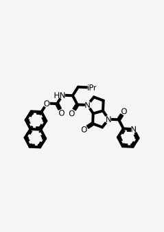 CC(C)CC(NC(=O)Oc1ccc2ccccc2c1)C(=O)N1CCC2C1C(=O)CN2C(=O)c1ccccn1